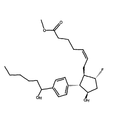 CCCCCC(O)c1ccc([C@@H]2[C@@H](C/C=C\CCCC(=O)OC)[C@H](F)C[C@H]2O)cc1